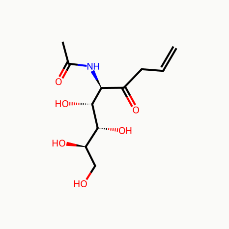 C=CCC(=O)[C@H](NC(C)=O)[C@@H](O)[C@H](O)[C@H](O)CO